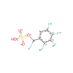 O=S(=O)(O)OC(F)c1cc(F)c(F)c(F)c1F